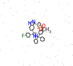 CS(=O)(=O)c1ccc(-c2ncnc3ccc(-c4cn(C(c5ccccc5)(c5ccccc5)c5ccccc5)nc4-c4ccc(F)cc4)cc23)s1